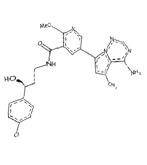 COc1ncc(-c2cc(C)c3c(N)ncnn23)cc1C(=O)NCC[C@H](O)c1ccc(Cl)cc1